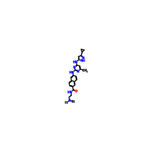 CCN(CC)CCNC(=O)c1ccc2cc(Nc3nc(C)cc(Nc4cc(C5CC5)n[nH]4)n3)ccc2c1